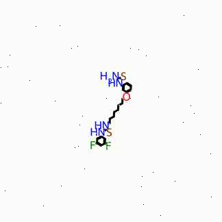 NC(=S)Nc1cccc(OCCCCCCCCNC(=S)Nc2cc(F)cc(F)c2)c1